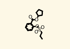 CCCS(=O)(=O)Oc1ccccc1C(=O)OC1CCCC1